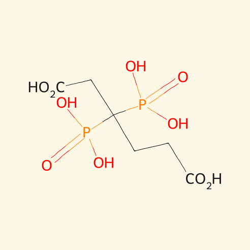 O=C(O)CCC(CC(=O)O)(P(=O)(O)O)P(=O)(O)O